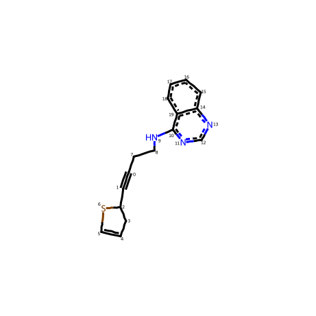 C(#CC1CC=CS1)CCNc1ncnc2ccccc12